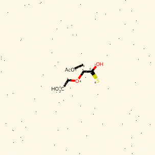 COC(C)=O.O=C(O)COCC(O)=S